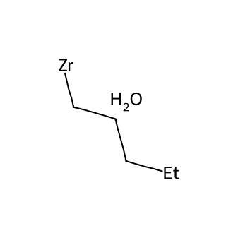 CCCC[CH2][Zr].O